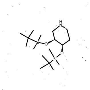 CC(C)(C)[Si](C)(C)O[C@H]1CNCC[C@H]1O[Si](C)(C)C(C)(C)C